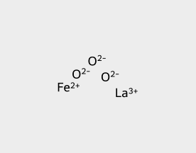 [Fe+2].[La+3].[O-2].[O-2].[O-2]